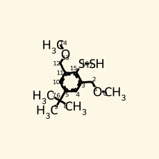 COCc1cc(C(C)(C)C)cc(COC)c1SS